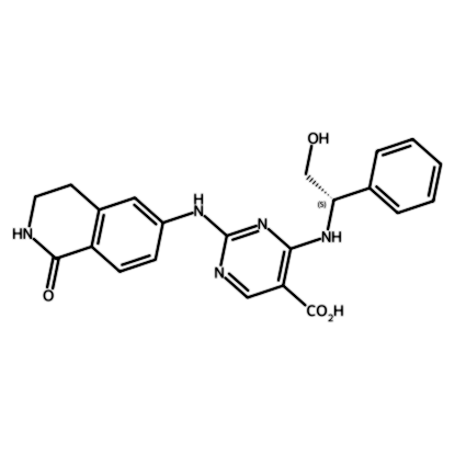 O=C1NCCc2cc(Nc3ncc(C(=O)O)c(N[C@H](CO)c4ccccc4)n3)ccc21